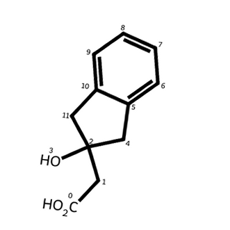 O=C(O)CC1(O)Cc2ccccc2C1